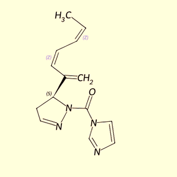 C=C(/C=C\C=C/C)[C@@H]1CC=NN1C(=O)n1ccnc1